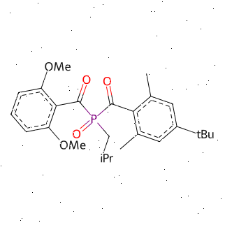 COc1cccc(OC)c1C(=O)P(=O)(CC(C)C)C(=O)c1c(C)cc(C(C)(C)C)cc1C